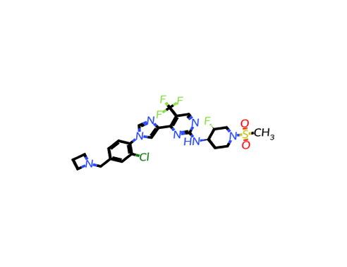 CS(=O)(=O)N1CC[C@@H](Nc2ncc(C(F)(F)F)c(-c3cn(-c4ccc(CN5CCC5)cc4Cl)cn3)n2)[C@H](F)C1